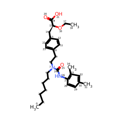 CCCCCCCN(CCc1ccc(C[C@H](OCC)C(=O)O)cc1)C(=O)Nc1ccc(C)cc1C